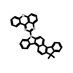 CC1(C)c2ccccc2-c2c1ccc1c2ccc2c1c1ccccc1n2-c1nc2c3c(cccc3n1)Oc1ccccc1-2